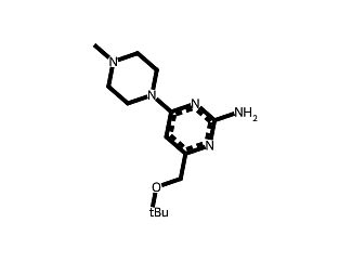 CN1CCN(c2cc(COC(C)(C)C)nc(N)n2)CC1